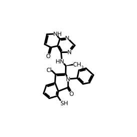 C[C@H](Nc1ncnc2[nH]ccc(=O)c12)c1c(Cl)c2cccc(S)c2c(=O)n1-c1ccccc1